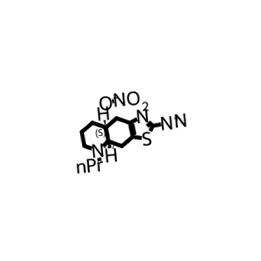 CCCN1CCC[C@H]2Cc3nc([N+]#N)sc3C[C@@H]21.O=[N+]([O-])[O-]